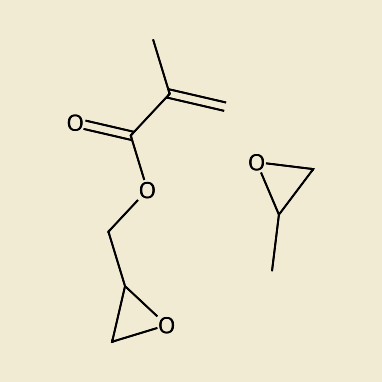 C=C(C)C(=O)OCC1CO1.CC1CO1